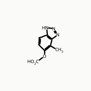 Cc1c(OC(=O)O)ccc2[nH]nnc12